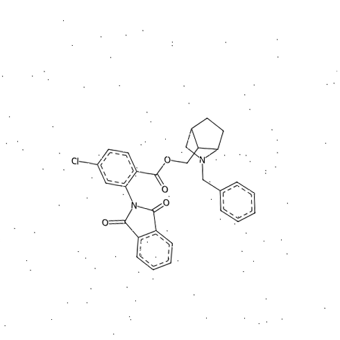 O=C(OCC1C2CCC1N(Cc1ccccc1)C2)c1ccc(Cl)cc1N1C(=O)c2ccccc2C1=O